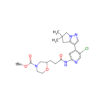 CC1(C)Cc2c(-c3cc(NC(=O)CCC4CN(C(=O)OC(C)(C)C)CCO4)ncc3Cl)cnn2C1